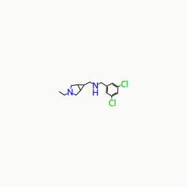 CCN1CC2C(CNCc3cc(Cl)cc(Cl)c3)C2C1